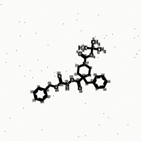 CC(C)(C)OC(=O)N1CCC(Cc2ccccc2)(C(=O)ONC(=O)OCc2ccccc2)CC1